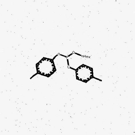 CCCCCCOP(Oc1ccc(C)cc1)Oc1ccc(C)cc1